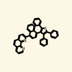 c1ccc(-c2sc(-c3ccccc3)c(-c3ccc(-c4ccc5ccc6cccnc6c5n4)c4ccccc34)c2-c2ccccc2)cc1